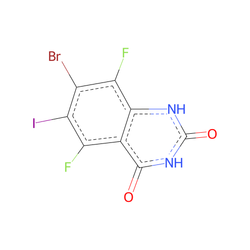 O=c1[nH]c(=O)c2c(F)c(I)c(Br)c(F)c2[nH]1